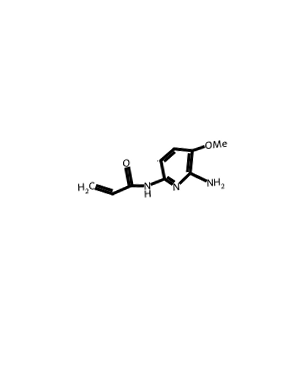 C=CC(=O)Nc1[c]cc(OC)c(N)n1